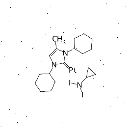 Cc1cn(C2CCCCC2)[c](=[Pt])n1C1CCCCC1.IN(I)C1CC1